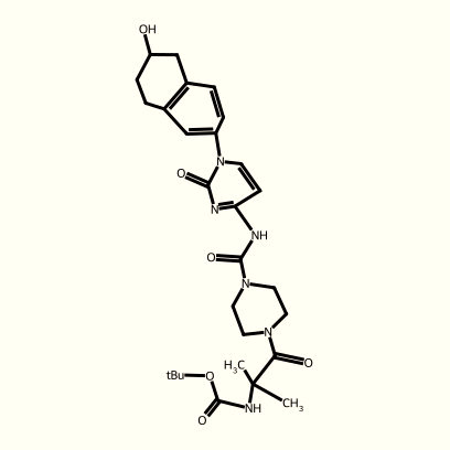 CC(C)(C)OC(=O)NC(C)(C)C(=O)N1CCN(C(=O)Nc2ccn(-c3ccc4c(c3)CCC(O)C4)c(=O)n2)CC1